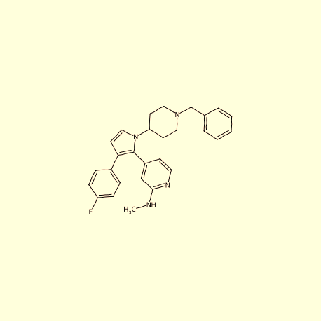 CNc1cc(-c2c(-c3ccc(F)cc3)ccn2C2CCN(Cc3ccccc3)CC2)ccn1